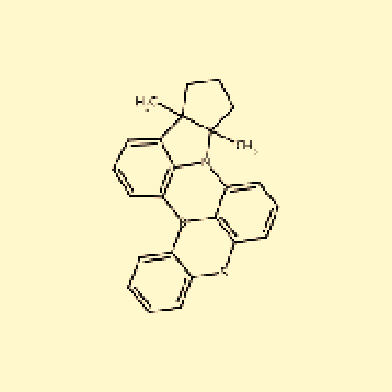 CC12CCCC1(C)N1c3cccc4c3B(c3ccccc3S4)c3cccc2c31